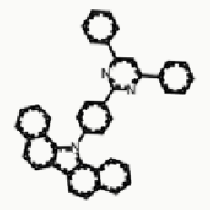 c1ccc(-c2cc(-c3ccccc3)nc(-c3ccc(-n4c5c6ccccc6ccc5c5ccc6ccccc6c54)cc3)n2)cc1